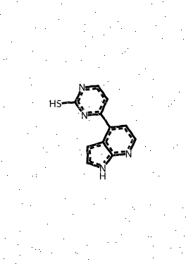 Sc1nccc(-c2ccnc3[nH]ccc23)n1